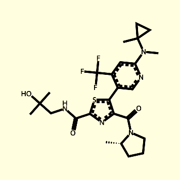 C[C@H]1CCCN1C(=O)c1nc(C(=O)NCC(C)(C)O)sc1-c1cnc(N(C)C2(C)CC2)cc1C(F)(F)F